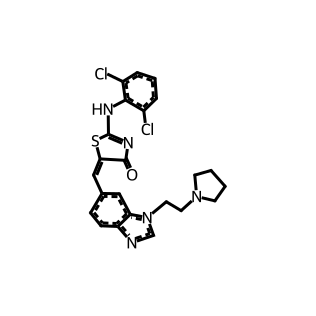 O=C1N=C(Nc2c(Cl)cccc2Cl)SC1=Cc1ccc2ncn(CCN3CCCC3)c2c1